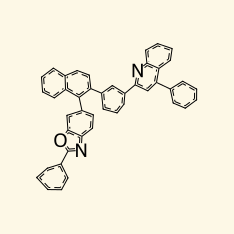 c1ccc(-c2nc3ccc(-c4c(-c5cccc(-c6cc(-c7ccccc7)c7ccccc7n6)c5)ccc5ccccc45)cc3o2)cc1